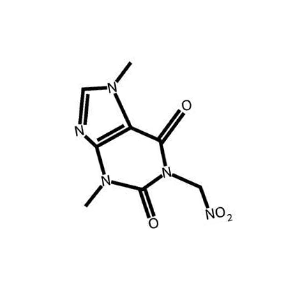 Cn1cnc2c1c(=O)n(C[N+](=O)[O-])c(=O)n2C